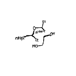 CCCCCCCC(CC)OC(CC)CCCCCCC.OCCO